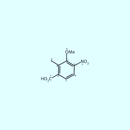 COc1c([N+](=O)[O-])ccc(C(=O)O)c1C